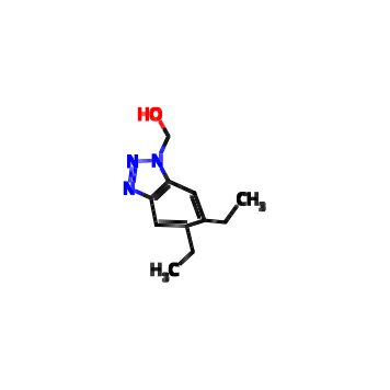 CCc1cc2nnn(CO)c2cc1CC